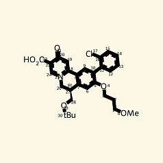 COCCCOc1cc2c(cc1-c1ccccc1Cl)-c1cc(=O)c(C(=O)O)cn1C[C@@H]2COC(C)(C)C